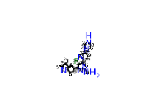 CCC1(C)C(C)=Nc2ccc(-c3nc(N)nc(-c4ccc(N5CCNCC5)cn4)c3F)cc21